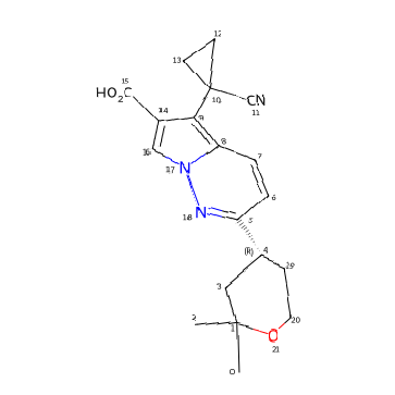 CC1(C)C[C@H](c2ccc3c(C4(C#N)CC4)c(C(=O)O)cn3n2)CCO1